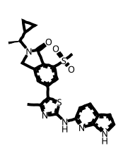 Cc1nc(Nc2ccc3cc[nH]c3n2)sc1-c1cc2c(c(S(C)(=O)=O)c1)C(=O)N([C@@H](C)C1CC1)C2